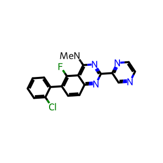 CNc1nc(-c2cnccn2)nc2ccc(-c3ccccc3Cl)c(F)c12